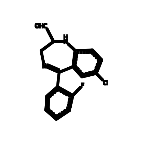 O=CC1CN=C(c2ccccc2F)c2cc(Cl)ccc2N1